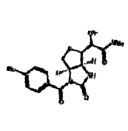 CCCC(C(=O)NC)[C@@H]1SC[C@H]2[C@@H]1NC(=O)N2C(=O)c1ccc(C(C)(C)C)cc1